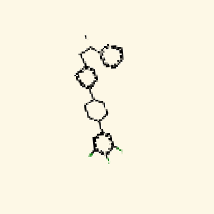 C[C@@H](Cc1ccc(C2CCC(c3cc(F)c(F)c(F)c3)CC2)cc1)c1ccccc1